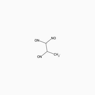 [CH2]C(N=O)[C](N=O)N=O